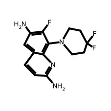 Nc1ccc2cc(N)c(F)c(N3CCC(F)(F)CC3)c2n1